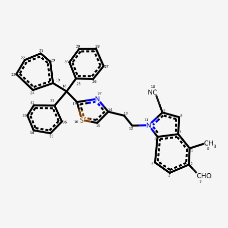 Cc1c(C=O)ccc2c1cc(C#N)n2CCc1csc(C(c2ccccc2)(c2ccccc2)c2ccccc2)n1